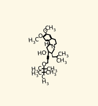 COc1cc2c(cc1OC)[C@H]1C[C@](O)(C#CCOC(C)(C)C(C)(C)C)[C@H](CC(C)C)CN1CC2